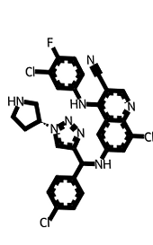 N#Cc1cnc2c(Cl)cc(NC(c3ccc(Cl)cc3)c3cn([C@@H]4CCNC4)nn3)cc2c1Nc1ccc(F)c(Cl)c1